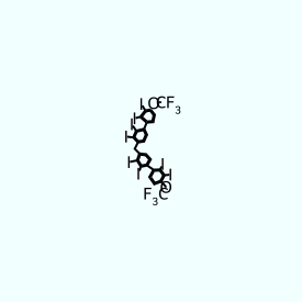 FC(F)(F)Oc1ccc(-c2ccc(Cc3ccc(-c4ccc(OC(F)(F)F)c(I)c4I)c(I)c3I)c(I)c2I)c(I)c1I